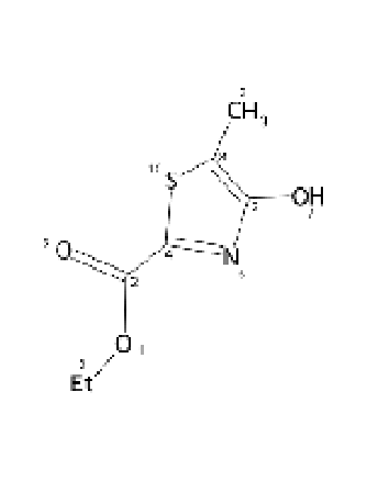 CCOC(=O)c1nc(O)c(C)s1